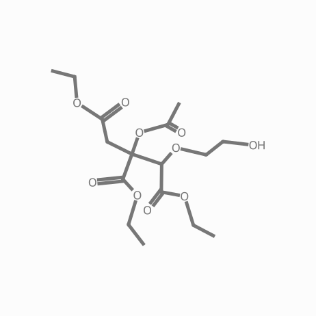 CCOC(=O)CC(OC(C)=O)(C(=O)OCC)C(OCCO)C(=O)OCC